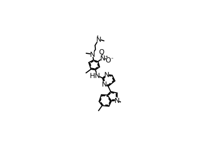 Cc1ccc2c(-c3ccnc(Nc4cc([N+](=O)[O-])c(N(C)CCN(C)C)cc4C)n3)cn(C)c2c1